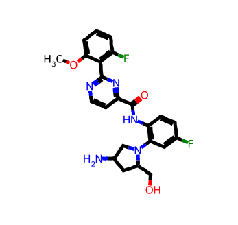 COc1cccc(F)c1-c1nccc(C(=O)Nc2ccc(F)cc2N2CC(N)CC2CO)n1